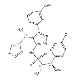 COc1cccc(-c2nnc(NS(=O)(=O)[C@@H](C)[C@H](OC)c3ncc(Cl)cn3)n2[C@@H](C)c2cscn2)n1